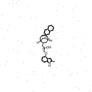 Cc1cc2c(OC[C@H](O)CN3C[C@H]4C/C=C\C[C@@H]3CN4c3ccc4ccccc4c3)cccc2[nH]1